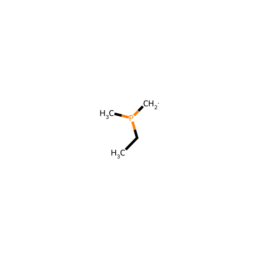 [CH2]P(C)CC